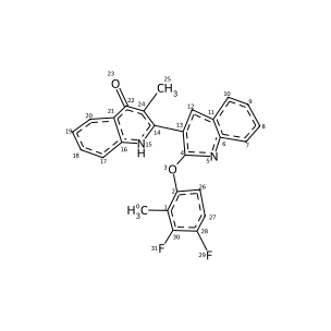 Cc1c(Oc2nc3ccccc3cc2-c2[nH]c3ccccc3c(=O)c2C)ccc(F)c1F